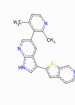 Cc1ccnc(C)c1-c1cnc2[nH]cc(-c3cc4ccncc4s3)c2c1